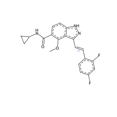 COc1c(C(=O)NC2CC2)ccc2[nH]nc(/C=C/c3ccc(F)cc3F)c12